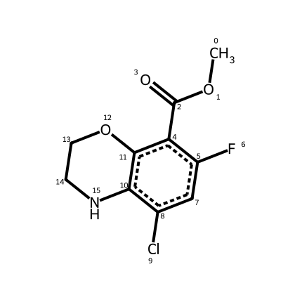 COC(=O)c1c(F)cc(Cl)c2c1OCCN2